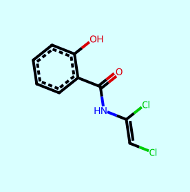 O=C(NC(Cl)=CCl)c1ccccc1O